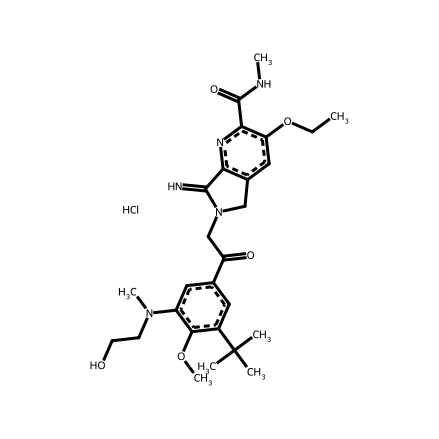 CCOc1cc2c(nc1C(=O)NC)C(=N)N(CC(=O)c1cc(N(C)CCO)c(OC)c(C(C)(C)C)c1)C2.Cl